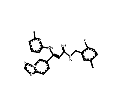 Cc1cccc(N/C(=C\C(=N)NCc2cc(F)ccc2F)c2ccc3ncnn3c2)n1